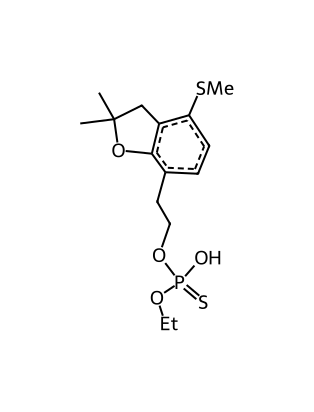 CCOP(O)(=S)OCCc1ccc(SC)c2c1OC(C)(C)C2